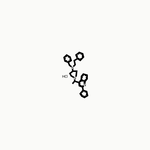 CC(c1cc(-c2ccccc2)nc2ccccc12)N1CCC(N(CCc2ccccc2)Cc2ccccc2)CC1.Cl